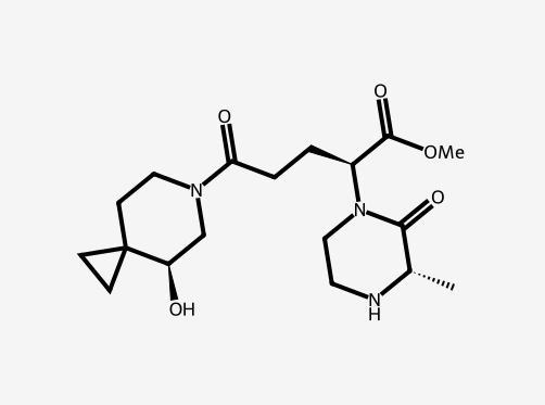 COC(=O)[C@H](CCC(=O)N1CCC2(CC2)[C@H](O)C1)N1CCN[C@@H](C)C1=O